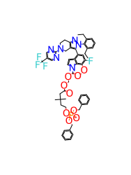 CCc1cccc(CC)c1-n1nc2c(c1-c1cc(F)c(OC)c3c1ccn3C(=O)OCOC(=O)CC(C)(C)CCOP(=O)(OCc1ccccc1)OCc1ccccc1)CN(c1ncc(C(F)(F)F)cn1)CC2